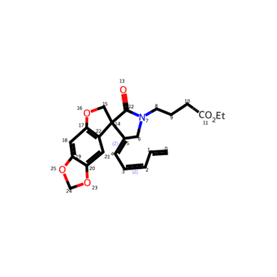 C=C/C=C\C=C1/CN(CCCC(=O)OCC)C(=O)C12COc1cc3c(cc12)OCO3